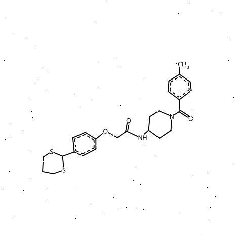 Cc1ccc(C(=O)N2CCC(NC(=O)COc3ccc(C4SCCCS4)cc3)CC2)cc1